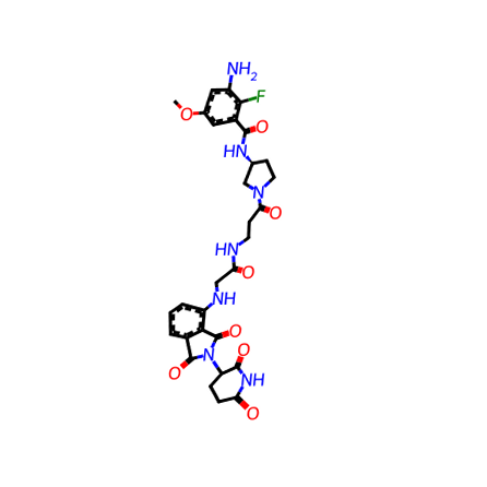 COc1cc(N)c(F)c(C(=O)N[C@H]2CCN(C(=O)CCNC(=O)CNc3cccc4c3C(=O)N(C3CCC(=O)NC3=O)C4=O)C2)c1